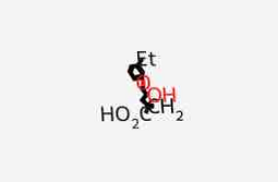 C=C(CC(O)COc1cccc(CC)c1)C(=O)O